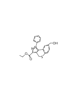 CCOC(=O)c1nn(-c2ccccc2)c2c1CSc1ccc(CO)cc1-2